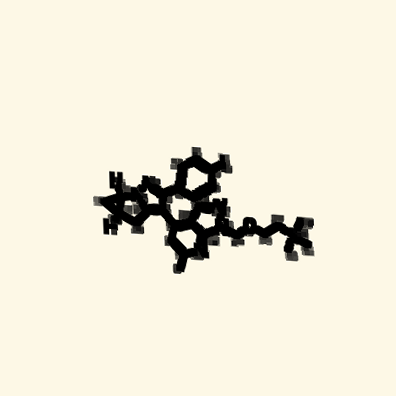 Cc1cc(-c2c(-c3ccc(F)cc3)nn3c2C[C@@H]2C[C@@H]23)c2cnn(COCC[Si](C)(C)C)c2n1